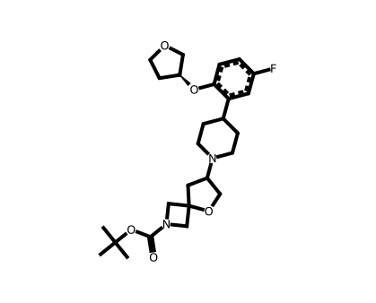 CC(C)(C)OC(=O)N1CC2(CC(N3CCC(c4cc(F)ccc4O[C@H]4CCOC4)CC3)CO2)C1